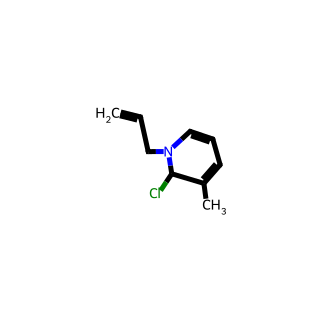 C=CCN1C=CC=C(C)C1Cl